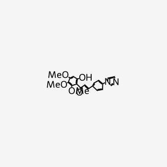 COc1cc(O)c(C(=O)/C=C/c2ccc(-n3ccnc3)cc2)c(OC)c1OC